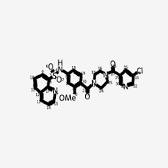 COc1cc(NS(=O)(=O)c2cccc3cccnc23)ccc1C(=O)N1CCN(C(=O)c2cncc(Cl)c2)CC1